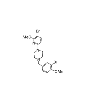 COc1ccc(CN2CCN(c3ccc(Br)c(OC)n3)CC2)cc1Br